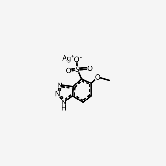 COc1ccc2[nH]nnc2c1S(=O)(=O)[O-].[Ag+]